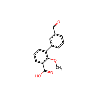 COc1c(C(=O)O)cccc1-c1cccc(C=O)c1